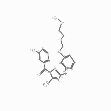 COCCOCOc1cccc(Nc2nc(N)n(C(=O)c3cccc(C)c3)n2)c1